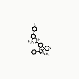 Cn1cc(-c2ccccc2)nc1C1(c2ccc(C(=O)Nc3cc(-c4ccc(F)cc4)ccc3N)cc2)CCOCC1